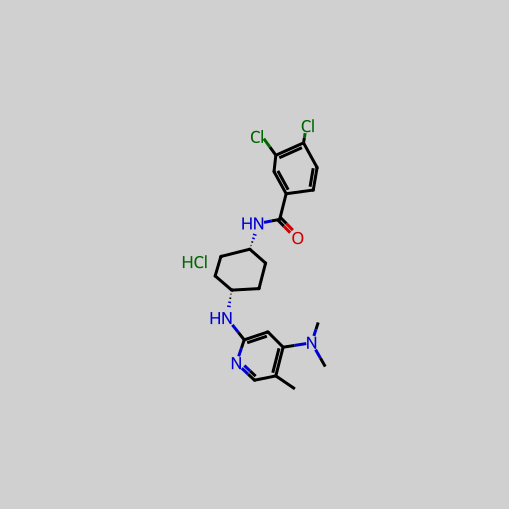 Cc1cnc(N[C@H]2CC[C@@H](NC(=O)c3ccc(Cl)c(Cl)c3)CC2)cc1N(C)C.Cl